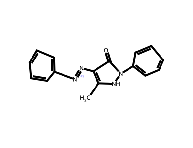 Cc1[nH]n(-c2ccccc2)c(=O)c1/N=N/c1ccccc1